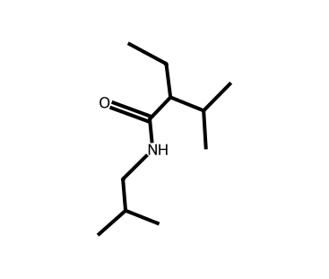 CCC(C(=O)NCC(C)C)C(C)C